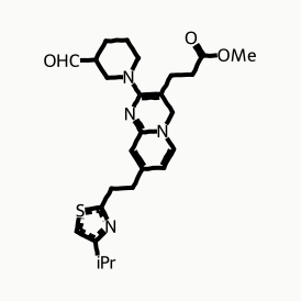 COC(=O)CCC1=C(N2CCCC(C=O)C2)N=C2C=C(CCc3nc(C(C)C)cs3)C=CN2C1